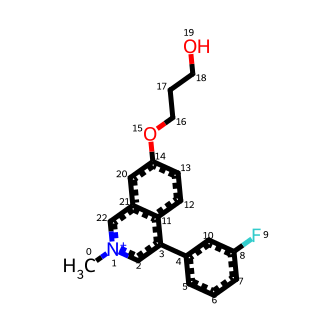 C[n+]1cc(-c2cccc(F)c2)c2ccc(OCCCO)cc2c1